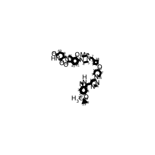 COc1c(N2CCN(CC3CC(OC4CCN(c5cc(-c6[nH]nc7ccc(OC8(C)CC8)cc67)ncn5)CC4)C3)CC2)ccc2c1CN(C1CCC(=O)NC1=O)C2=O